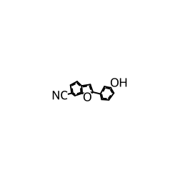 N#Cc1ccc2cc(-c3cccc(O)c3)oc2c1